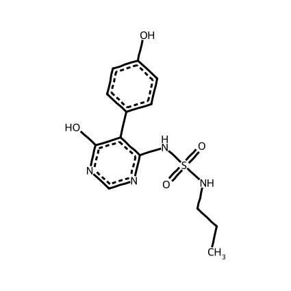 CCCNS(=O)(=O)Nc1ncnc(O)c1-c1ccc(O)cc1